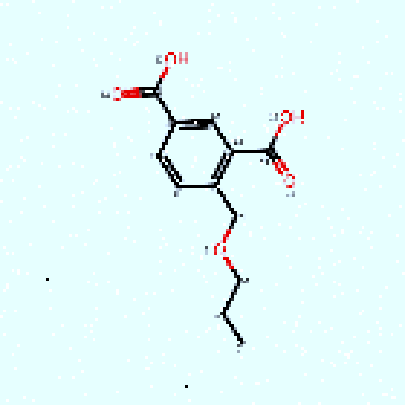 CCCOCc1ccc(C(=O)O)cc1C(=O)O